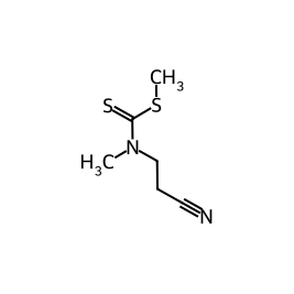 CSC(=S)N(C)CCC#N